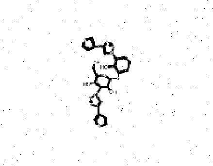 OCC1O[C@@H](S[C@@H]2CCCC(n3cc(-c4ccsc4)nn3)C2O)C(O)C(n2cc(-c3ccsc3)nn2)[C@H]1O